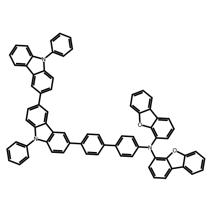 c1ccc(-n2c3ccccc3c3cc(-c4ccc5c(c4)c4cc(-c6ccc(-c7ccc(N(c8cccc9c8oc8ccccc89)c8cccc9c8oc8ccccc89)cc7)cc6)ccc4n5-c4ccccc4)ccc32)cc1